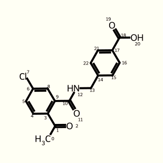 CC(=O)c1ccc(Cl)cc1C(=O)NCc1ccc(C(=O)O)cc1